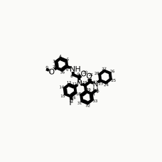 COc1cccc(NCC(=O)N(c2cccc(F)c2)C(C(=O)NC2CCCCC2)c2ccccc2C)c1